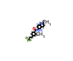 Cc1ccc2cc(NC(=O)c3ccc(C=CC(F)(F)F)cc3C)ccc2n1